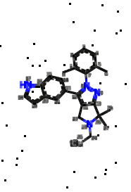 Cc1cccc(C)c1-n1nc2c(c1-c1ccc3[nH]ccc3c1)CN(CC(C)(C)C)C2(C)C